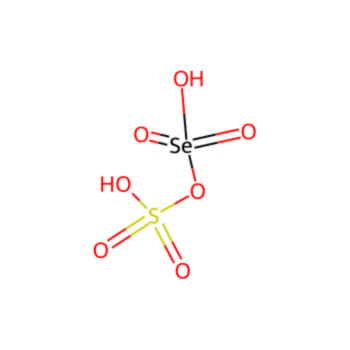 O=S(=O)(O)O[Se](=O)(=O)O